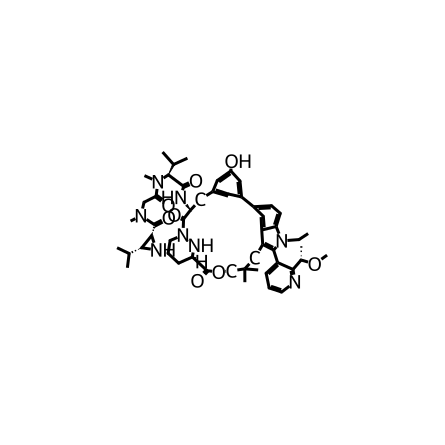 CCn1c(-c2cccnc2[C@H](C)OC)c2c3cc(ccc31)-c1cc(O)cc(c1)C[C@H](NC(=O)[C@H](C(C)C)N(C)C(=O)CN(C)C(=O)[C@@H]1N[C@@H]1C(C)C)C(=O)N1CCC[C@H](N1)C(=O)OCC(C)(C)C2